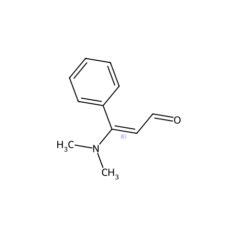 CN(C)/C(=C/C=O)c1ccccc1